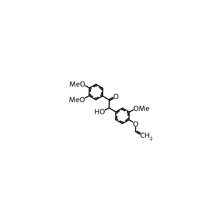 C=COc1ccc(C(O)C(=O)c2ccc(OC)c(OC)c2)cc1OC